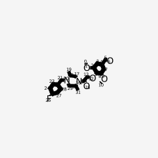 COc1cc(C=O)cc(OC)c1OCC(=O)N1CC(C)N(Cc2ccc(F)cc2)CC1C